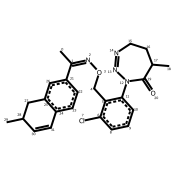 C/C(=N/OCc1c(Cl)cccc1N1N=NCCC(C)C1=O)c1ccc2c(c1)CC(C)C=C2